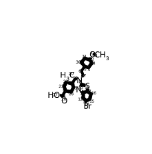 COc1ccc(CCN(c2nc3cc(Br)ccc3s2)C(C)c2ccc(C(=O)O)cc2)cc1